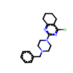 Clc1nc(N2CCN(Cc3ccccc3)CC2)nc2c1CCCC2